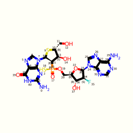 Nc1nc2c(ncn2C2S[C@H](CO)[C@@H](O)[C@H]2[P@](=O)(S)OC[C@H]2O[C@@H](n3cnc4c(N)ncnc43)[C@@H](F)[C@@H]2O)c(=O)[nH]1